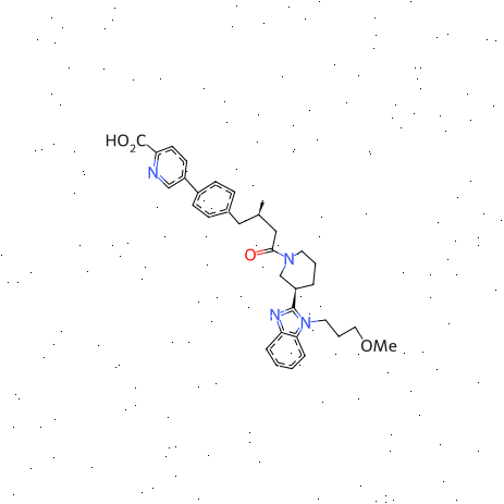 COCCCn1c([C@@H]2CCCN(C(=O)C[C@H](C)Cc3ccc(-c4ccc(C(=O)O)nc4)cc3)C2)nc2ccccc21